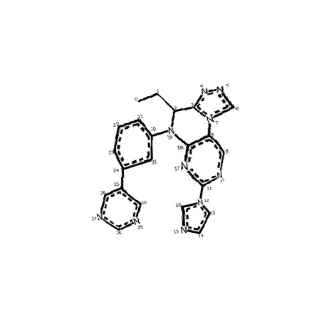 CCC1c2nncn2-c2cnc(-n3ccnc3)nc2N1c1cccc(-c2cncnc2)c1